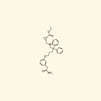 CCOC(=O)C1CC1CNCC(CCCOc1cccc(CC(N)=O)c1)(c1ccccc1)c1ccccc1